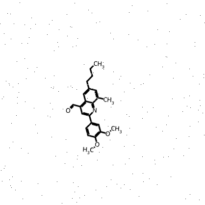 CCCCc1cc(C)c2nc(-c3ccc(OC)c(OC)c3)cc(C=O)c2c1